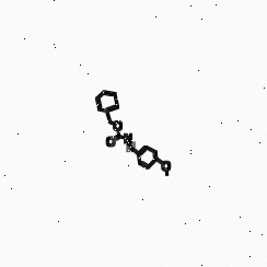 COc1ccc(N=NC(=O)OCc2ccccc2)cc1